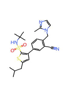 Cc1nccn1Cc1ccc(-c2cc(CC(C)C)sc2S(=O)(=O)NC(C)(C)C)cc1C#N